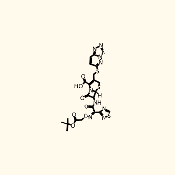 CC(C)(C)OC(=O)CO/N=C(\C(=O)NC1C(=O)N2C(C(=O)O)=C(CSc3ccc4nnnn4n3)CS[C@H]12)c1ncsn1